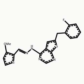 COc1ccsc1C=NNc1ncnc2sc(Cc3ccccc3F)cc12